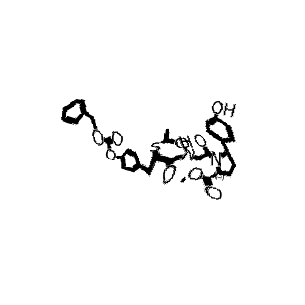 COC(=O)[C@@H]1CCC(c2ccc(O)cc2)N1C(=O)CNC(=O)C(Cc1ccc(OC(=O)OCc2ccccc2)cc1)SC(C)=O